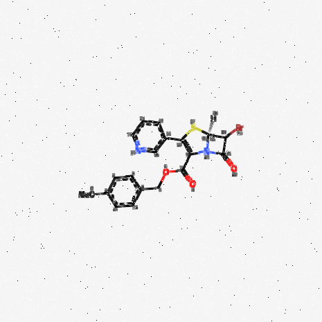 COc1ccc(COC(=O)C2=C(c3cccnc3)S[C@H]3C(Br)C(=O)N23)cc1